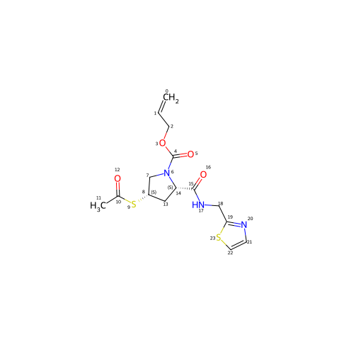 C=CCOC(=O)N1C[C@@H](SC(C)=O)C[C@H]1C(=O)NCc1nccs1